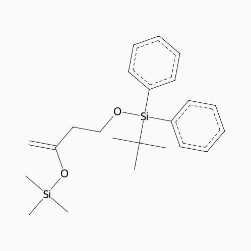 C=C(CCO[Si](c1ccccc1)(c1ccccc1)C(C)(C)C)O[Si](C)(C)C